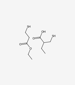 CCC(CS)C(=O)O.CCOC(=O)CCS